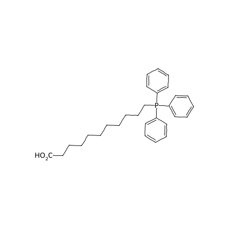 O=C(O)CCCCCCCCCC[P](c1ccccc1)(c1ccccc1)c1ccccc1